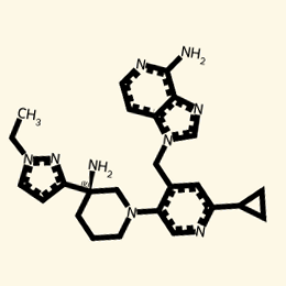 CCn1ccc([C@@]2(N)CCCN(c3cnc(C4CC4)cc3Cn3cnc4c(N)nccc43)C2)n1